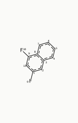 Fc1[c]c2ccccc2c(F)c1